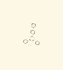 Brc1ccccc1-c1nc(-c2ccccc2)nc(-c2ccc(-c3ccccc3)cc2)n1